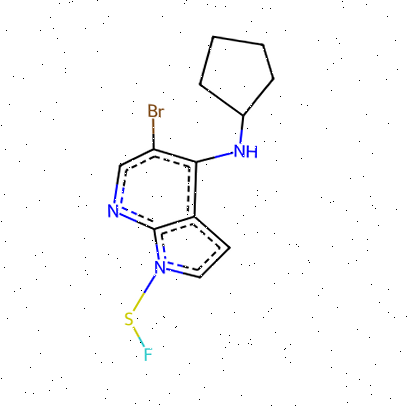 FSn1ccc2c(NC3CCCC3)c(Br)cnc21